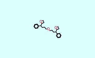 c1ccc(C(CCCOCCCC(c2ccccc2)C2CCO2)C2CCO2)cc1